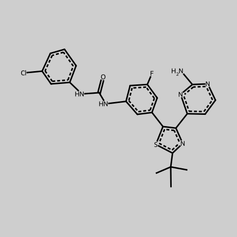 CC(C)(C)c1nc(-c2ccnc(N)n2)c(-c2cc(F)cc(NC(=O)Nc3cccc(Cl)c3)c2)s1